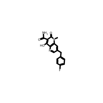 Cn1c(=O)c(C(N)=O)c(O)c2ncc(Cc3ccc(F)cc3)cc21